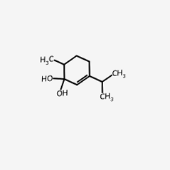 CC(C)C1=CC(O)(O)C(C)CC1